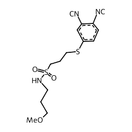 [C-]#[N+]c1ccc(SCCCS(=O)(=O)NCCCOC)cc1[N+]#[C-]